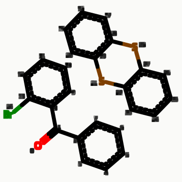 O=C(c1ccccc1)c1ccccc1Br.c1ccc2c(c1)Sc1ccccc1S2